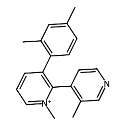 Cc1ccc(-c2ccc[n+](C)c2-c2ccncc2C)c(C)c1